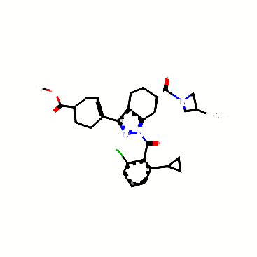 COC1CN(C(=O)[C@H]2CCc3c(C4=CCC(C(=O)OC(C)(C)C)CC4)nn(C(=O)c4c(Cl)cccc4C4CC4)c3C2)C1